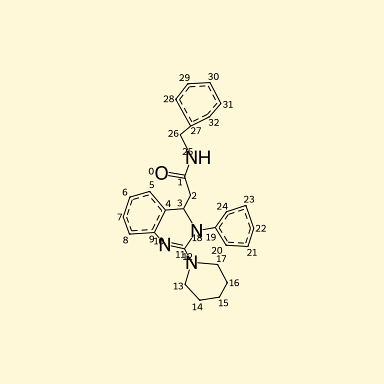 O=C(CC1c2ccccc2N=C(N2CCCCC2)N1c1ccccc1)NCc1ccccc1